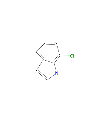 Clc1cccc2c1[N]C=C2